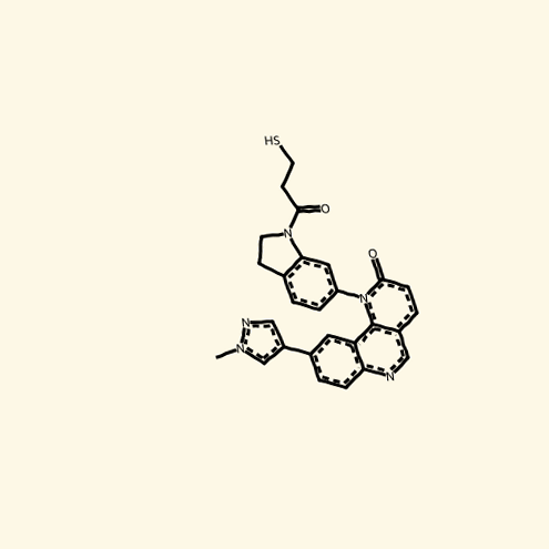 Cn1cc(-c2ccc3ncc4ccc(=O)n(-c5ccc6c(c5)N(C(=O)CCS)CC6)c4c3c2)cn1